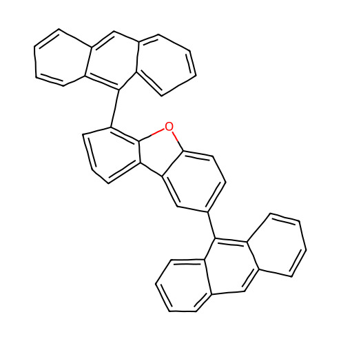 c1ccc2c(-c3ccc4oc5c(-c6c7ccccc7cc7ccccc67)cccc5c4c3)c3ccccc3cc2c1